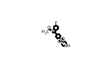 CC(=O)n1cc(-c2ccc(S(=O)(=O)N3CCNCC3)cc2)c2ccc(F)cc21